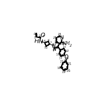 C=CC(=O)N[C@H]1C[C@@H](n2nc(-c3ccc(Oc4ccccc4)cc3)c3c(N)nccc32)C1